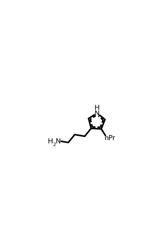 CCCc1c[nH]cc1CCCN